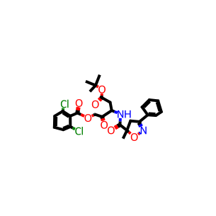 CC(C)(C)OC(=O)CC(NC(=O)C1(C)CC(c2ccccc2)=NO1)C(=O)COC(=O)c1c(Cl)cccc1Cl